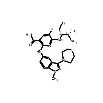 CC(C)C[C@@H](Nc1nc(Nc2ccc3c(c2)c(N2CCOCC2)nn3C)c(C(N)=O)cc1F)[C@H](C)N